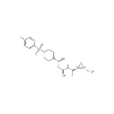 CCCC(CC(=O)N1CCN(S(=O)(=O)c2ccc(C)cc2)CC1)NC(=O)[C@H]1O[C@@H]1C(=O)O